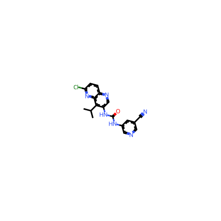 CC(C)c1c(NC(=O)Nc2cncc(C#N)c2)cnc2ccc(Cl)nc12